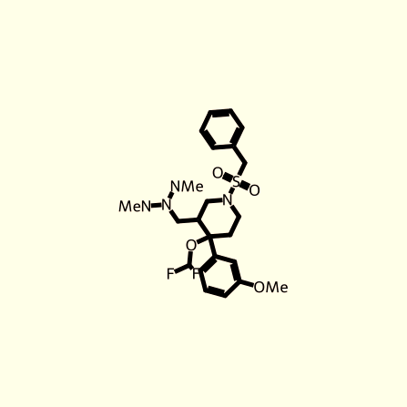 CNN(CC1CN(S(=O)(=O)Cc2ccccc2)CCC1(OC(F)F)c1cccc(OC)c1)NC